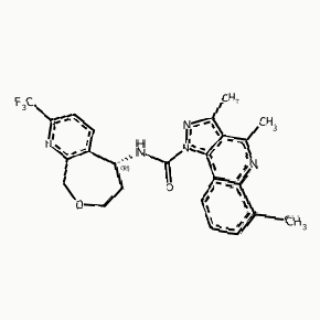 Cc1cccc2c1nc(C)c1c(C)nn(C(=O)N[C@@H]3CCOCc4nc(C(F)(F)F)ccc43)c12